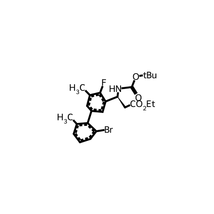 CCOC(=O)C[C@H](NC(=O)OC(C)(C)C)c1cc(-c2c(C)cccc2Br)cc(C)c1F